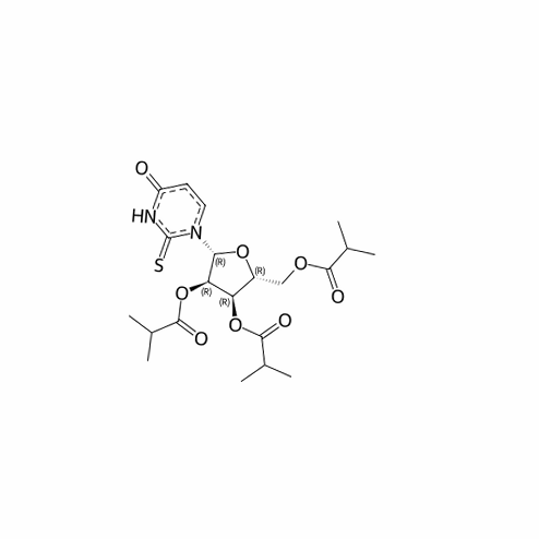 CC(C)C(=O)OC[C@H]1O[C@@H](n2ccc(=O)[nH]c2=S)[C@H](OC(=O)C(C)C)[C@@H]1OC(=O)C(C)C